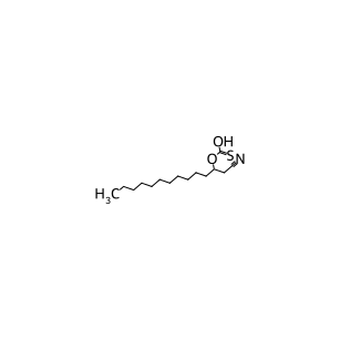 CCCCCCCCCCCC(CC#N)OC(O)=S